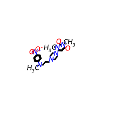 CN(CCCN1CCN(c2cc(=O)n(C)c(=O)n2C)CC1)c1ccc([N+](=O)[O-])cc1